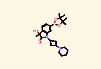 CC1(O)C(=O)N(C2CC(N3CCCCC3)C2)c2cc(B3OC(C)(C)C(C)(C)O3)ccc21